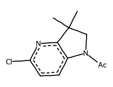 CC(=O)N1CC(C)(C)c2nc(Cl)ccc21